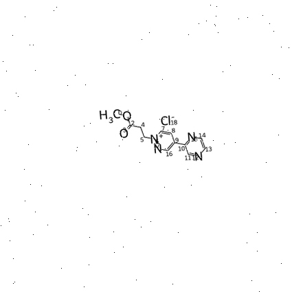 COC(=O)CC[n+]1ccc(-c2cnccn2)cn1.[Cl-]